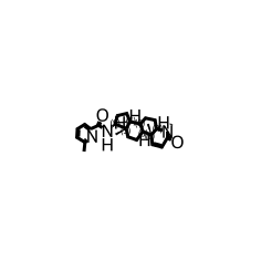 Cc1cccc(C(=O)N[C@H]2CC[C@H]3[C@@H]4CC[C@H]5N(C)C(=O)C=C[C@]5(C)[C@H]4CC[C@]23C)n1